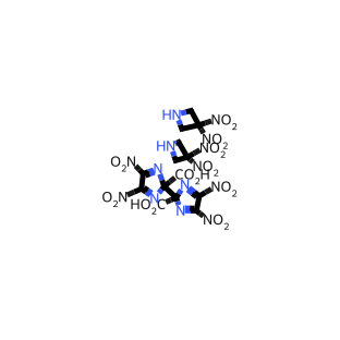 O=C(O)C1(C2(C(=O)O)N=C([N+](=O)[O-])C([N+](=O)[O-])=N2)N=C([N+](=O)[O-])C([N+](=O)[O-])=N1.O=[N+]([O-])C1([N+](=O)[O-])CNC1.O=[N+]([O-])C1([N+](=O)[O-])CNC1